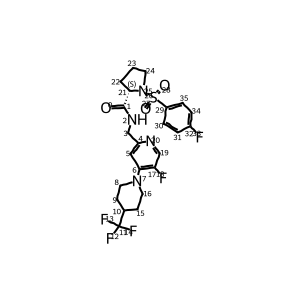 O=C(NCc1cc(N2CCC(C(F)(F)F)CC2)c(F)cn1)[C@@H]1CCCN1S(=O)(=O)c1ccc(F)cc1